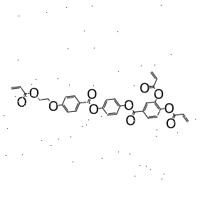 C=CC(=O)OCCOc1ccc(C(=O)Oc2ccc(OC(=O)c3ccc(OC(=O)C=C)c(OC(=O)C=C)c3)cc2)cc1